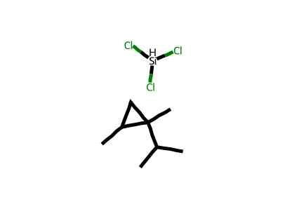 CC(C)C1(C)CC1C.Cl[SiH](Cl)Cl